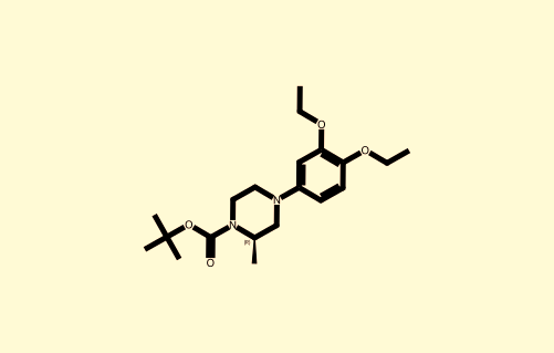 CCOc1ccc(N2CCN(C(=O)OC(C)(C)C)[C@H](C)C2)cc1OCC